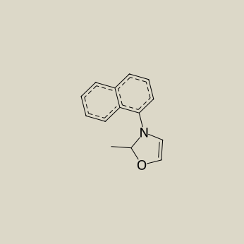 CC1OC=CN1c1cccc2ccccc12